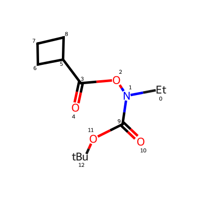 CCN(OC(=O)C1CCC1)C(=O)OC(C)(C)C